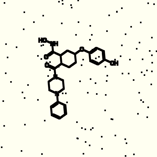 O=C(NO)C1CC(Oc2ccc(O)cc2)CCC1C(=O)N1CCN(c2ccccc2)CC1